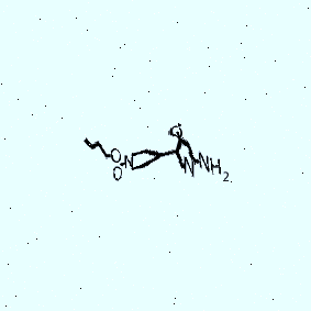 CCCCOC(=O)N1CCC(c2cnc(N)cc2OC)CC1